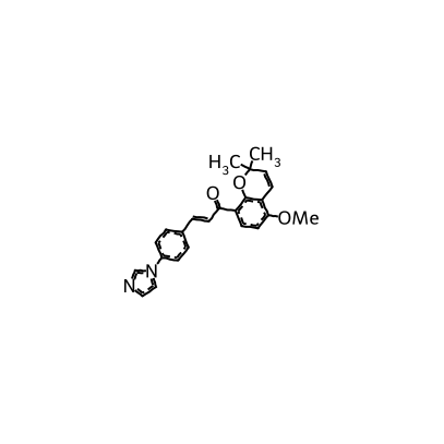 COc1ccc(C(=O)C=Cc2ccc(-n3ccnc3)cc2)c2c1C=CC(C)(C)O2